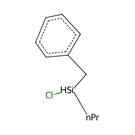 CCC[SiH](Cl)Cc1ccccc1